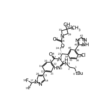 CC(C)(C)CCNC(=N)N(C(=O)c1ccc(-c2cnn(C(F)F)c2)cc1)[C@H](COC(=O)N1CC(C)(C)C1)c1ccc(Cl)c(-c2ncn[nH]2)c1